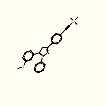 COc1cccc(C2CC(c3ccc(C#C[Si](C)(C)C)cc3)=NN2c2ccccc2)c1